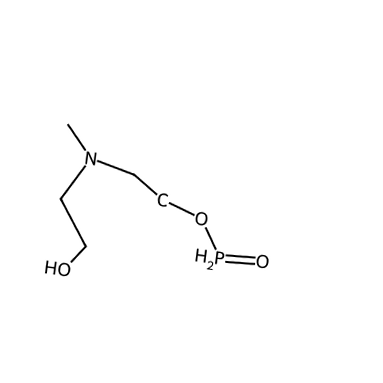 CN(CCO)CCO[PH2]=O